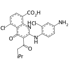 CC(C)CC(=O)c1c(Nc2ccc(N)cc2Cl)[nH]c2c(C(=O)O)ccc(Cl)c2c1=O